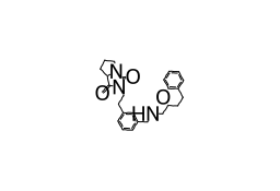 O=C1C2CCCN2C(=O)N1CCc1cccc(CNCC2CCc3ccccc3O2)c1